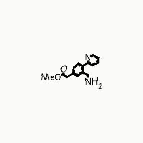 COC(=O)Cc1ccc(-c2cc[c]cn2)c(CN)c1